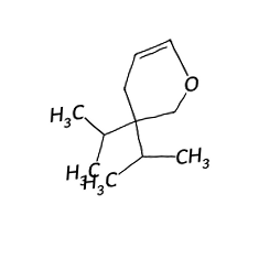 CC(C)C1(C(C)C)CC=COC1